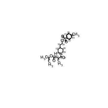 C=C(C)OC(=O)N[C@@H](C)C(=O)N1CCC(CCOS(=O)(=O)c2ccc(C)cc2)CC1